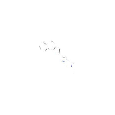 CSc1nn2cc(-c3cc4ccc5ccccc5c4o3)nc2s1